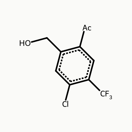 CC(=O)c1cc(C(F)(F)F)c(Cl)cc1CO